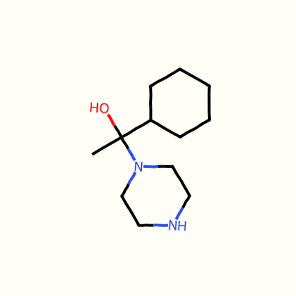 CC(O)(C1CCCCC1)N1CCNCC1